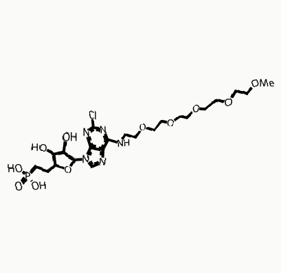 COCCOCCOCCOCCOCCNc1nc(Cl)nc2c1ncn2C1OC(CCP(=O)(O)O)C(O)C1O